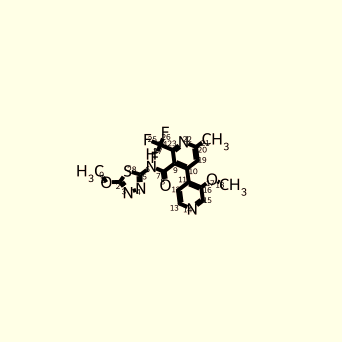 COc1nnc(NC(=O)c2c(-c3ccncc3OC)cc(C)nc2C(F)(F)F)s1